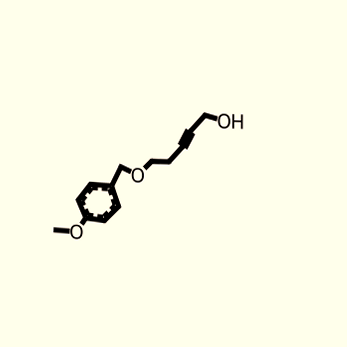 COc1ccc(COCCC#CCO)cc1